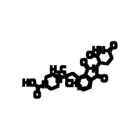 CC(C)(Cc1cccc2c1C(=O)N(C1CCC(=O)NC1=O)C2=O)N1CCN(C(=O)O)CC1